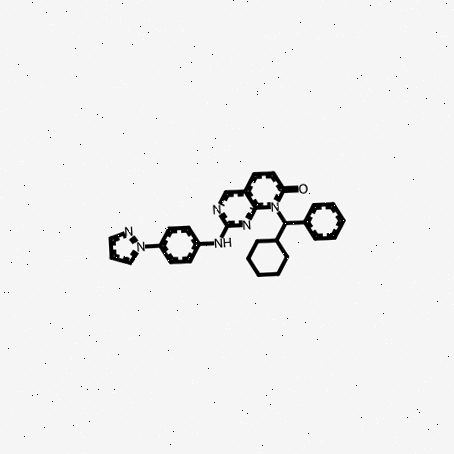 O=c1ccc2cnc(Nc3ccc(-n4cccn4)cc3)nc2n1C(c1ccccc1)C1CCCCC1